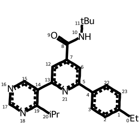 CCc1ccc(-c2cc(C(=O)NC(C)(C)C)cc(-c3cncnc3C(C)C)n2)cc1